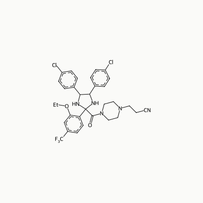 CCOc1cc(C(F)(F)F)ccc1C1(C(=O)N2CCN(CCC#N)CC2)NC(c2ccc(Cl)cc2)C(c2ccc(Cl)cc2)N1